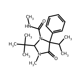 CNC(=O)N1C(C(C)(C)C)N(C)C(=O)C1(c1ccccc1)C(C)C